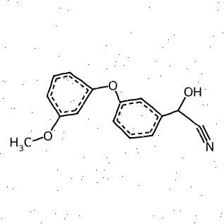 COc1cccc(Oc2cccc(C(O)C#N)c2)c1